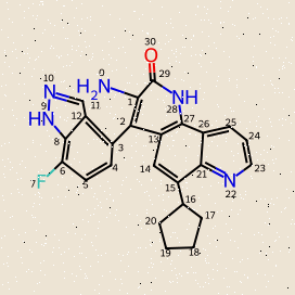 Nc1c(-c2ccc(F)c3[nH]ncc23)c2cc(C3CCCC3)c3ncccc3c2[nH]c1=O